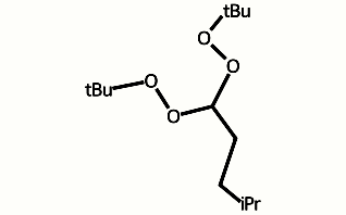 CC(C)CCC(OOC(C)(C)C)OOC(C)(C)C